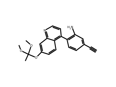 C#Cc1ccc(-c2ccnc3cc(OC(C)(OC)OC)ccc23)c(N)c1